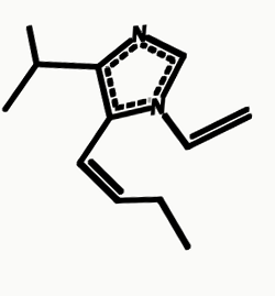 C=Cn1cnc(C(C)C)c1/C=C\CC